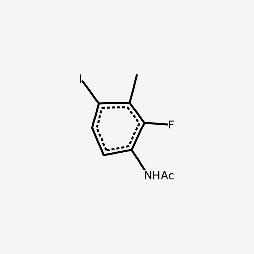 CC(=O)Nc1ccc(I)c(C)c1F